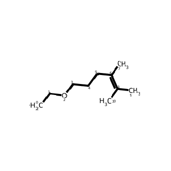 [CH2]COCCCC(C)=C(C)C